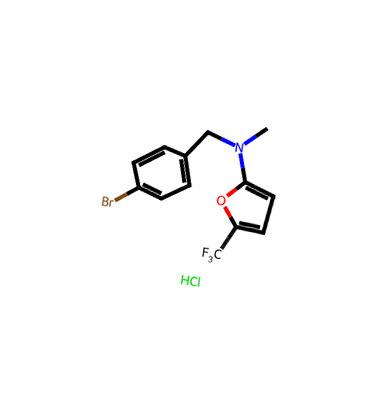 CN(Cc1ccc(Br)cc1)c1ccc(C(F)(F)F)o1.Cl